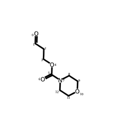 O=CCCOC(=O)N1CCOCC1